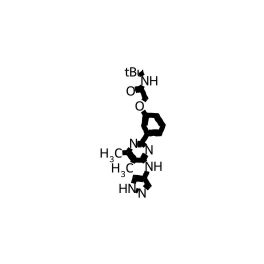 Cc1nc(-c2cccc(OCC(=O)NC(C)(C)C)c2)nc(Nc2cn[nH]c2)c1C